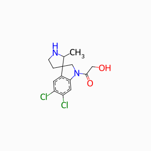 CC1NCCC12CN(C(=O)CO)c1cc(Cl)c(Cl)cc12